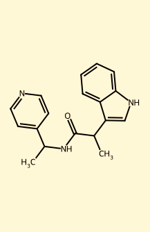 CC(NC(=O)C(C)c1c[nH]c2ccccc12)c1ccncc1